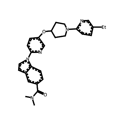 CCc1ccc(N2CCC(Oc3ccc(-n4ccc5cc(C(=O)N(C)C)ccc54)nc3)CC2)nc1